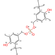 Cc1cc(COS(=O)(=O)OCc2cc(C)c(O)c(C(C)(C)C)c2)cc(C(C)(C)C)c1O